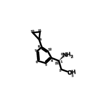 N[C@H](CO)c1cccc(C2CC2)c1